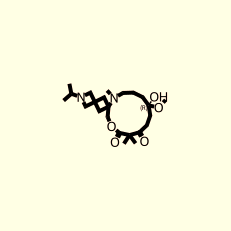 CO[C@]1(O)CCCN(C)C2(COC(=O)C(C)(C)C(=O)CC1)CC1(CN(C(C)C)C1)C2